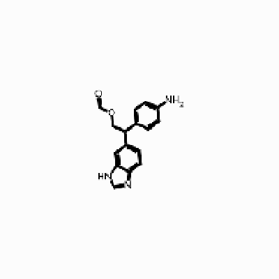 Nc1ccc(C(COC=O)c2ccc3nc[nH]c3c2)cc1